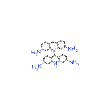 C[n+]1c2cc(N)ccc2c(-[n+]2c3cc(N)ccc3cc3ccc(N)cc32)c2ccc(N)cc21